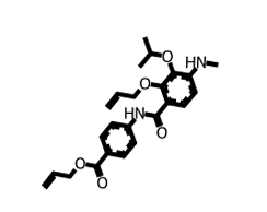 C=CCOC(=O)c1ccc(NC(=O)c2ccc(NC)c(OC(C)C)c2OCC=C)cc1